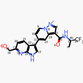 C[C@@H](NC(=O)c1cnn2ccc(-c3c[nH]c4nc(CO)ccc34)cc12)C(F)(F)F